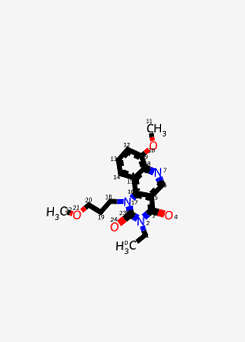 CCn1c(=O)c2cnc3c(OC)cccc3c2n(CCCOC)c1=O